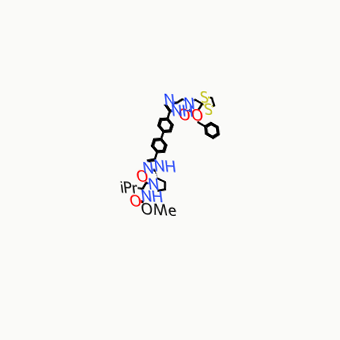 COC(=O)NC(C(=O)N1CCC[C@H]1c1ncc(-c2ccc(-c3ccc(-c4cnc(CN(CC5(C)SCCS5)C(=O)OCc5ccccc5)[nH]4)cc3)cc2)[nH]1)C(C)C